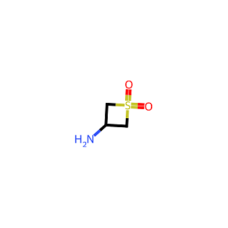 NC1CS(=O)(=O)C1